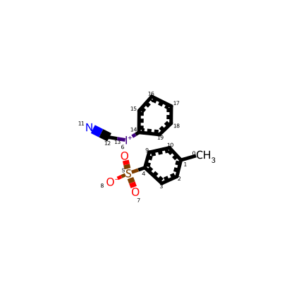 Cc1ccc(S(=O)(=O)[O-])cc1.N#C[I+]c1ccccc1